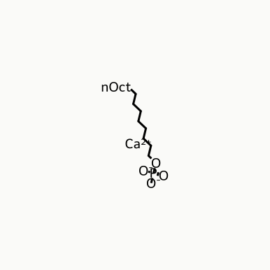 CCCCCCCCCCCCCCCCOP(=O)([O-])[O-].[Ca+2]